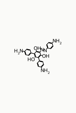 Nc1ccc(N=Nc2c(O)c(-c3ccc(N)cc3)c(O)c(-c3ccc(N)cc3)c2O)cc1